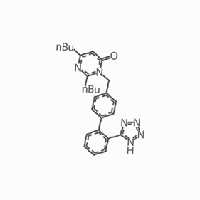 CCCCc1cc(=O)n(Cc2ccc(-c3ccccc3-c3nnn[nH]3)cc2)c(CCCC)n1